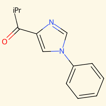 CC(C)C(=O)c1cn(-c2ccccc2)cn1